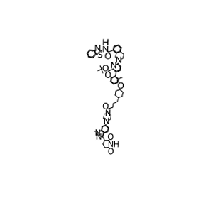 Cc1c(O[C@H]2CC[C@H](CCCC(=O)N3CCN(c4ccc5c(C6CCC(=O)NC6=O)nn(C)c5c4)CC3)CC2)cccc1-c1ccc(N2CCc3cccc(C(=O)Nc4nc5ccccc5s4)c3C2)nc1C(=O)OC(C)(C)C